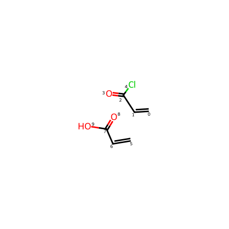 C=CC(=O)Cl.C=CC(=O)O